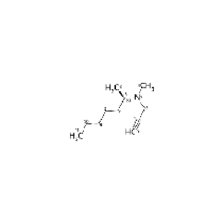 C#CCN(C)[C@H](C)CCCCC